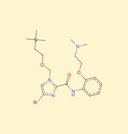 CN(C)CCOc1ccccc1NC(=O)c1nc(Br)cn1COCC[Si](C)(C)C